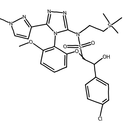 COc1cccc(OC)c1-n1c(-c2ccn(C)n2)nnc1N(CC[Si](C)(C)C)S(=O)(=O)CC(O)c1ccc(Cl)cc1